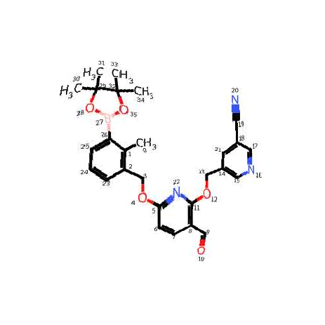 Cc1c(COc2ccc(C=O)c(OCc3cncc(C#N)c3)n2)cccc1B1OC(C)(C)C(C)(C)O1